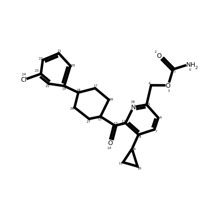 NC(=O)OCc1ccc(C2CC2)c(C(=O)C2CCC(c3cccc(Cl)c3)CC2)n1